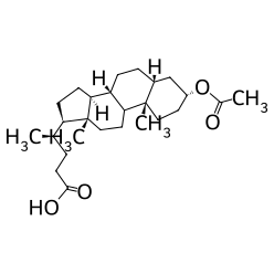 CC(=O)O[C@@H]1CC[C@]2(C)C3CC[C@]4(C)[C@@H]([C@H](C)CCC(=O)O)CC[C@H]4[C@@H]3CC[C@@H]2C1